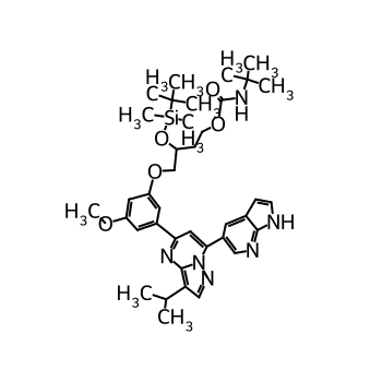 COc1cc(OCC(CCOC(=O)NC(C)(C)C)O[Si](C)(C)C(C)(C)C)cc(-c2cc(-c3cnc4[nH]ccc4c3)n3ncc(C(C)C)c3n2)c1